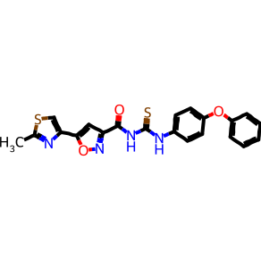 Cc1nc(-c2cc(C(=O)NC(=S)Nc3ccc(Oc4ccccc4)cc3)no2)cs1